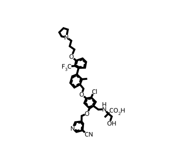 Cc1c(COc2cc(OCc3cncc(C#N)c3)c(CN[C@@](C)(CO)C(=O)O)cc2Cl)cccc1-c1cccc(OCCCN2CCCC2)c1C(F)(F)F